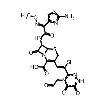 CON=C(C(=O)NC1C(=O)N2C(C(=O)O)=C(C=C(S)c3n[nH]c(=O)c(=O)n3CC=O)CSC12)c1csc(N)n1